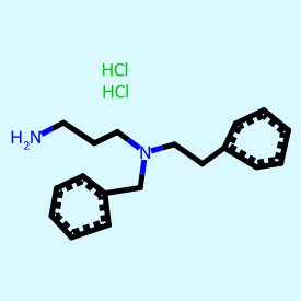 Cl.Cl.NCCCN(CCc1ccccc1)Cc1ccccc1